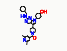 Cc1cc(C(=O)N2CCC(c3cn([C@H]4CC[C@H](O)CC4)c4nc(NCC5CCCCC5)ncc34)CC2)cc(C)n1